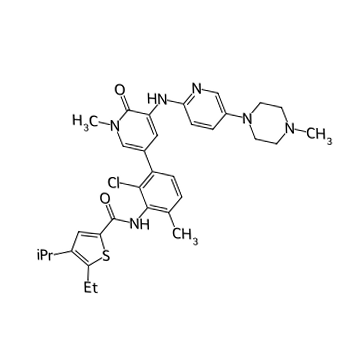 CCc1sc(C(=O)Nc2c(C)ccc(-c3cc(Nc4ccc(N5CCN(C)CC5)cn4)c(=O)n(C)c3)c2Cl)cc1C(C)C